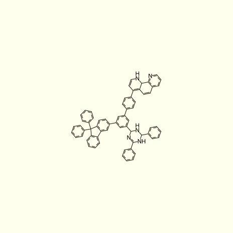 C1=CC(c2ccc(-c3cc(-c4ccc5c(c4)-c4ccccc4C5(c4ccccc4)c4ccccc4)cc(C4N=C(c5ccccc5)NC(c5ccccc5)N4)c3)cc2)=C2C=Cc3cccnc3C2N1